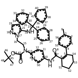 Cc1ccc(C2=C(C(=O)Nc3ccc(N(CCn4nccc4NC(c4ccccc4)(c4ccccc4)c4ccccc4)C(=O)OC(C)(C)C)nc3)CCCC2)cc1